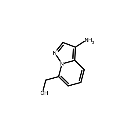 Nc1cnn2c(CO)cccc12